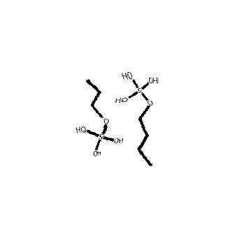 CCCCO[Si](O)(O)O.CCCO[Si](O)(O)O